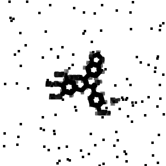 COc1ccc(C(=O)C(Cc2cc(OC)c(OC)c(OC)c2)=C(C(=O)[O-])c2ccc3c(c2)OCO3)cc1.[Na+]